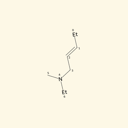 CC/C=C/CN(C)CC